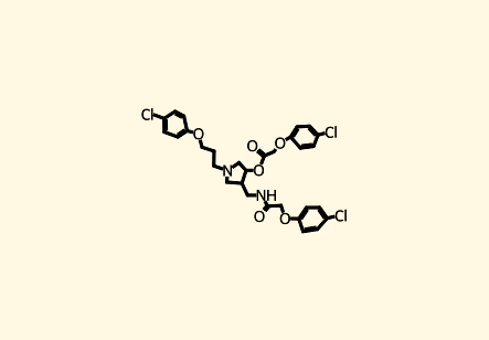 O=C(COc1ccc(Cl)cc1)NCC1CN(CCCOc2ccc(Cl)cc2)CC1OC(=O)COc1ccc(Cl)cc1